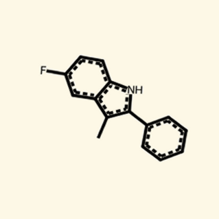 Cc1c(-c2ccccc2)[nH]c2ccc(F)cc12